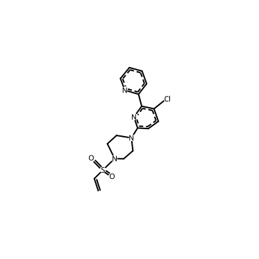 C=CS(=O)(=O)N1CCN(c2ccc(Cl)c(-c3ccccn3)n2)CC1